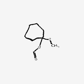 COC1(O[C]=O)CCCCC1